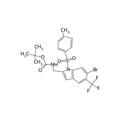 Cc1ccc(S(=O)(=O)n2c(CNC(=O)OC(C)(C)C)cc3cc(C(F)(F)F)c(Br)cc32)cc1